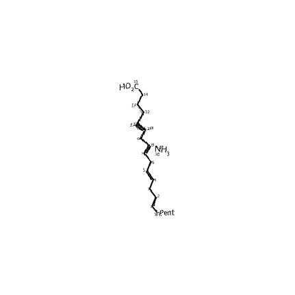 CCCCCC=CCC=CCC=CCC=CCCCC(=O)O.N